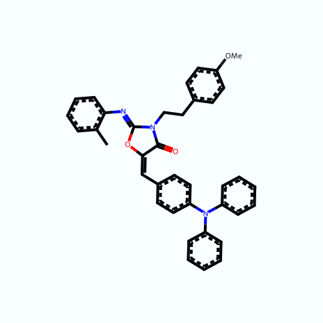 COc1ccc(CCN2C(=O)/C(=C\c3ccc(N(c4ccccc4)c4ccccc4)cc3)O/C2=N\c2ccccc2C)cc1